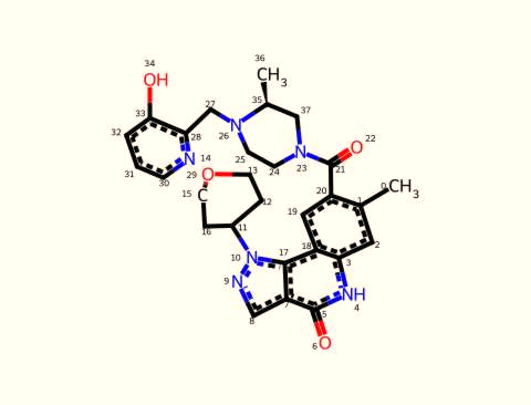 Cc1cc2[nH]c(=O)c3cnn(C4CCOCC4)c3c2cc1C(=O)N1CCN(Cc2ncccc2O)[C@@H](C)C1